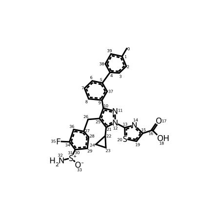 Cc1ccc(-c2cccc(-c3nn(-c4nc(C(=O)O)cs4)c(C4CC4)c3Cc3ccc([S+](N)[O-])c(F)c3)c2)cc1